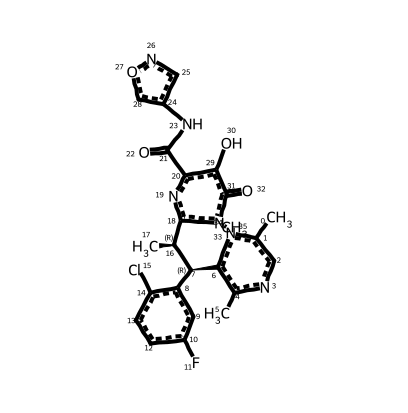 Cc1cnc(C)c([C@@H](c2cc(F)ccc2Cl)[C@@H](C)c2nc(C(=O)Nc3cnoc3)c(O)c(=O)n2C)n1